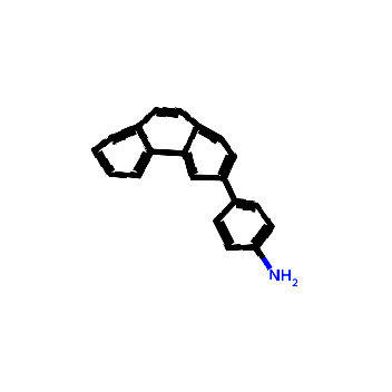 Nc1ccc(-c2ccc3ccc4ccccc4c3c2)cc1